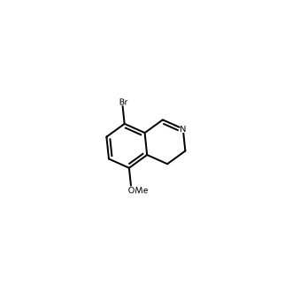 COc1ccc(Br)c2c1CCN=C2